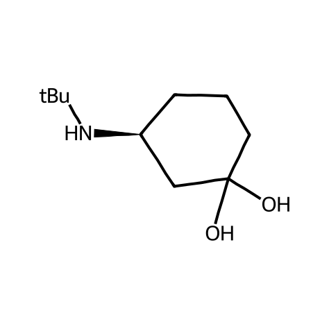 CC(C)(C)N[C@H]1CCCC(O)(O)C1